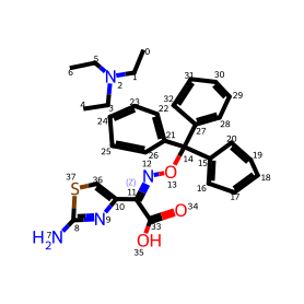 CCN(CC)CC.Nc1nc(/C(=N/OC(c2ccccc2)(c2ccccc2)c2ccccc2)C(=O)O)cs1